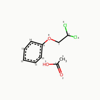 CC(=O)O.ClC(Cl)COc1ccccc1